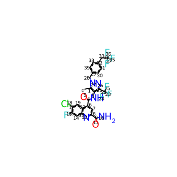 Cc1c(NC(=O)c2cc(C(N)=O)nc3cc(F)c(Cl)cc23)c(C(F)(F)F)nn1Cc1ccc(CC(F)(F)F)cc1